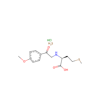 COc1ccc(C(=O)CN[C@@H](CCSC)C(=O)O)cc1.Cl.S